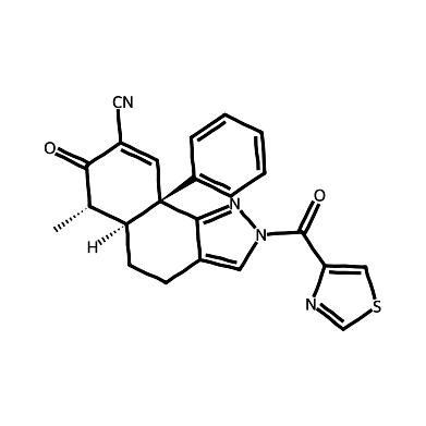 C[C@@H]1C(=O)C(C#N)=C[C@]2(c3ccccc3)c3nn(C(=O)c4cscn4)cc3CC[C@@H]12